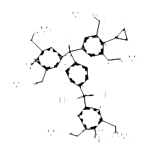 COCc1cc(C(C)(C)c2ccc(C(C)(c3cc(COC)c(N=O)c(COC)c3)c3cc(COC)c(C4CC4)c(COC)c3)cc2)cc(COC)c1N=O